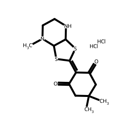 CN1CCNC2SC(=C3C(=O)CC(C)(C)CC3=O)SC21.Cl.Cl